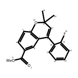 COC(=O)c1ccc2c(c1)C(c1ccccc1F)=CC(C)(C)O2